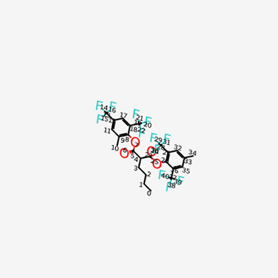 CCCCC(C(=O)Oc1c(C)cc(C(F)(F)F)cc1C(F)(F)F)C(=O)Oc1c(C(F)(F)F)cc(C)cc1C(F)(F)F